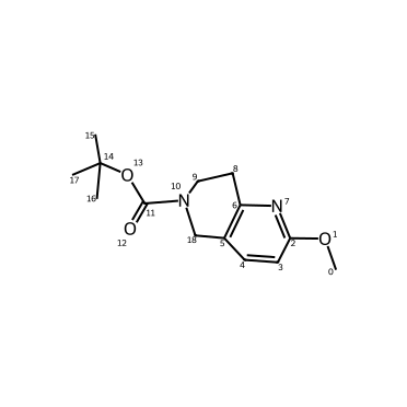 COc1ccc2c(n1)CCN(C(=O)OC(C)(C)C)C2